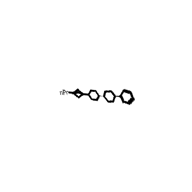 CCCC12CC(C3CCC([C@H]4CC[C@H](c5ccccc5)CC4)CC3)(C1)C2